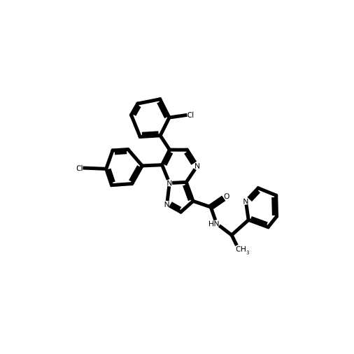 CC(NC(=O)c1cnn2c(-c3ccc(Cl)cc3)c(-c3ccccc3Cl)cnc12)c1ccccn1